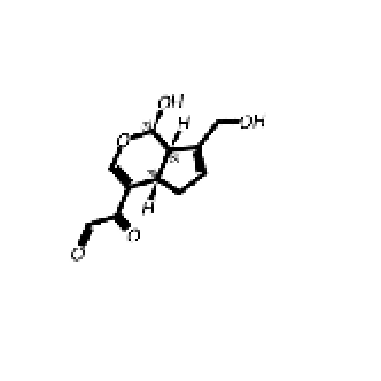 O=CC(=O)C1=CO[C@@H](O)[C@@H]2C(CO)=CC[C@H]12